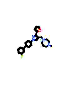 CN1CCCN(Cc2cn(-c3ccc(-c4cccc(F)c4)cc3)nc2-c2ccco2)CC1